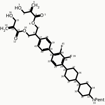 C=C(CO)C(=O)OCC(COC(=O)C(=C)CO)c1ccc(-c2ccc(C3CCC(C4CCC(CCCCC)CC4)CC3)c(F)c2F)cc1